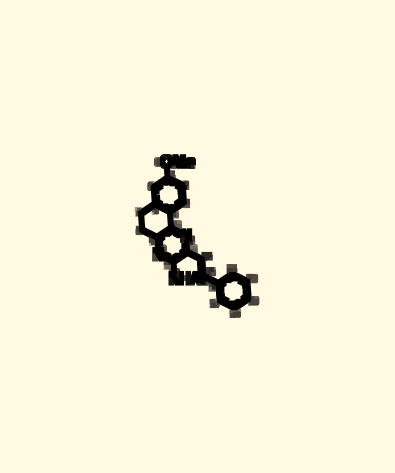 COc1ccc2c(c1)CCc1nc(NC(C)=O)c(/C=C/c3ccccc3)nc1-2